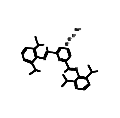 CC(=Nc1c(C(C)C)cccc1C(C)C)c1cccc(C(C)=Nc2c(C(C)C)cccc2C(C)C)n1.[Cl-].[Cl-].[Cl-].[Co+3]